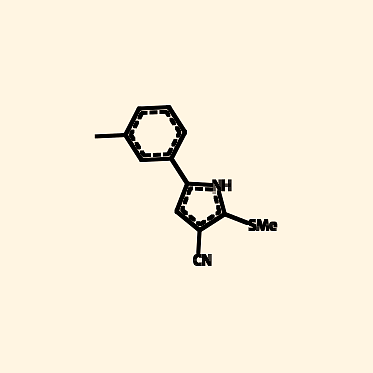 CSc1[nH]c(-c2cccc(C)c2)cc1C#N